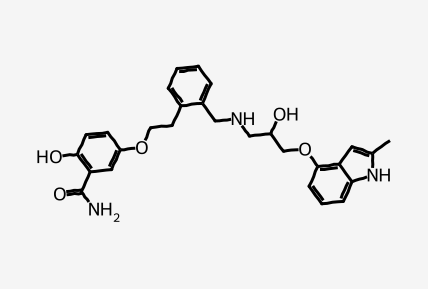 Cc1cc2c(OCC(O)CNCc3ccccc3CCOc3ccc(O)c(C(N)=O)c3)cccc2[nH]1